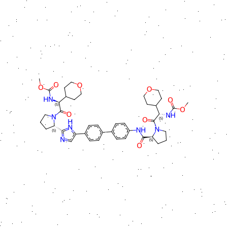 COC(=O)N[C@H](C(=O)N1CCC[C@H]1C(=O)Nc1ccc(-c2ccc(-c3cnc([C@@H]4CCCN4C(=O)[C@@H](NC(=O)OC)C4CCOCC4)[nH]3)cc2)cc1)C1CCOCC1